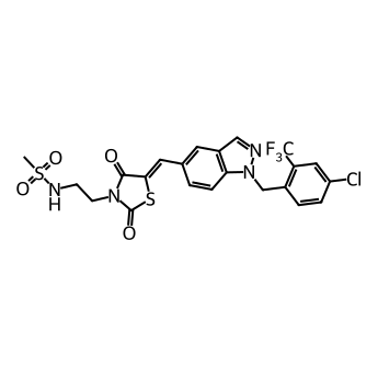 CS(=O)(=O)NCCN1C(=O)S/C(=C\c2ccc3c(cnn3Cc3ccc(Cl)cc3C(F)(F)F)c2)C1=O